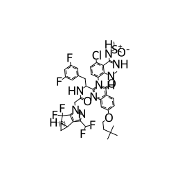 CNc1c(-n2c(C(Cc3cc(F)cc(F)c3)NC(=O)Cn3nc(C(F)F)c4c3C(F)(F)[C@@H]3CC43)nc3cc(OCCC(C)(C)C)ccc3c2=O)ccc(Cl)c1C(=N)N[S+](C)[O-]